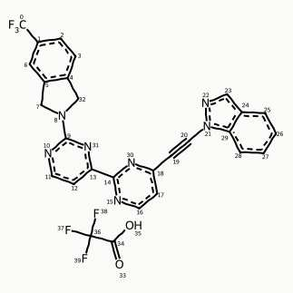 FC(F)(F)c1ccc2c(c1)CN(c1nccc(-c3nccc(C#Cn4ncc5ccccc54)n3)n1)C2.O=C(O)C(F)(F)F